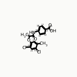 Cc1cc(OC(C)C(=O)Nc2ccc(C(=O)O)cc2)c(Cl)cc1Cl